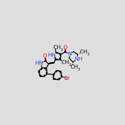 Cc1[nH]c(/C=C2\C(=O)Nc3cccc(-c4ccc(Br)cc4)c32)c(C)c1C(=O)N1C[C@@H](C)N[C@@H](C)C1